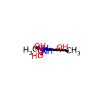 CCCCCCC(O)CCCCCCCCC(CC(=O)NCC(C)O)NCCO